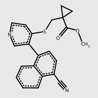 COC(=O)C1(CSc2ccncc2-c2ccc(C#N)c3ccccc23)CC1